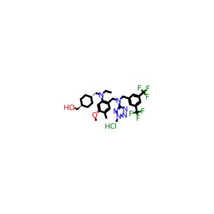 CCN(C[C@H]1CC[C@H](CO)CC1)c1cc(OC)c(C)cc1CN(Cc1cc(C(F)(F)F)cc(C(F)(F)F)c1)c1nnn(C)n1.Cl